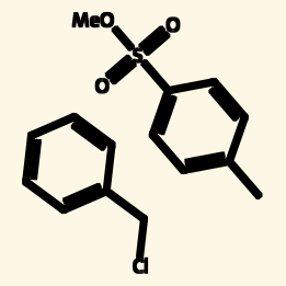 COS(=O)(=O)c1ccc(C)cc1.ClCc1ccccc1